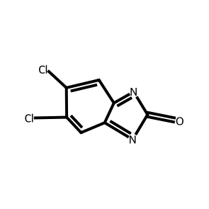 O=C1N=c2cc(Cl)c(Cl)cc2=N1